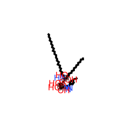 CCCCCCCCCCCCCCCCCCCCCCCCCCN[C@@H](CO[C@H]1O[C@H](Cn2cc(-c3ccc(CCC)cc3)nn2)[C@H](O)[C@H](O)[C@H]1O)[C@H](O)[C@H](O)CCCCCCCCCCCCCC